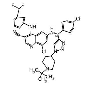 CC(C)(C)N1CCC(n2cc([C@@H](Nc3cc(Cl)c4ncc(C#N)c(Nc5cccc(C(F)F)c5)c4c3)c3ccc(Cl)cc3)nn2)CC1